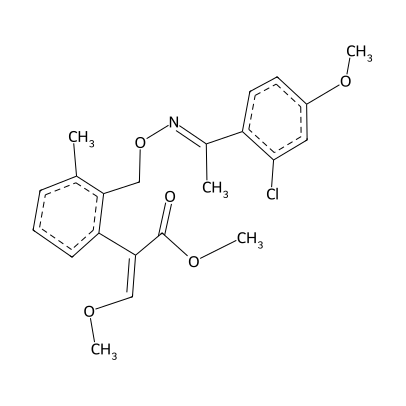 CO/C=C(/C(=O)OC)c1cccc(C)c1CO/N=C(\C)c1ccc(OC)cc1Cl